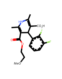 COCCOC(=O)C1=C(C)NC(C)=C(C(=O)O)C1c1cccc(F)c1F